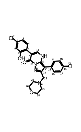 O=c1c(-c2ccc(Cl)cc2O)c[nH]c2c(-c3ccc(Cl)cc3)c(CN3CCOCC3)nn12